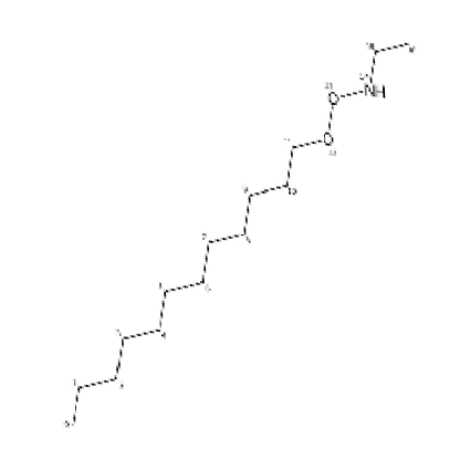 CCCCCCCCCCCCOONCC